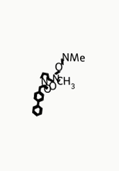 CNCCOCCN(C)C(=O)C1CCCN1C(=O)Cc1ccc(-c2ccccc2)cc1